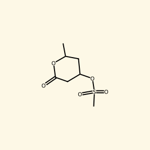 CC1CC(OS(C)(=O)=O)CC(=O)O1